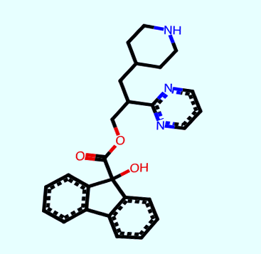 O=C(OCC(CC1CCNCC1)c1ncccn1)C1(O)c2ccccc2-c2ccccc21